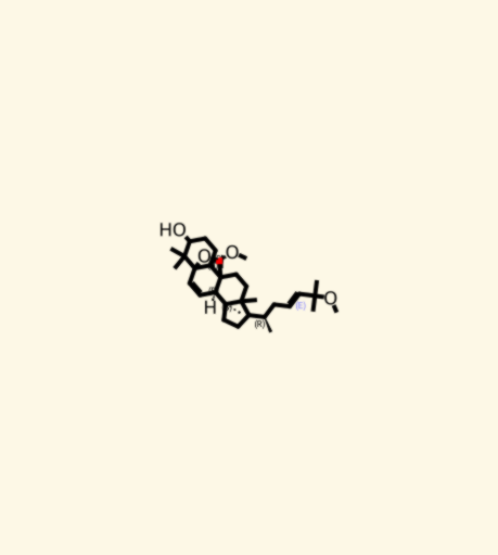 CO[C@@H]1OC23C=C[C@H]4C1(CCC1(C)C([C@H](C)C/C=C/C(C)(C)OC)CC[C@@]41C)[C@@H]2CCC(O)C3(C)C